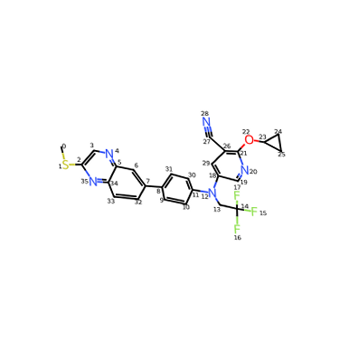 CSc1cnc2cc(-c3ccc(N(CC(F)(F)F)c4cnc(OC5CC5)c(C#N)c4)cc3)ccc2n1